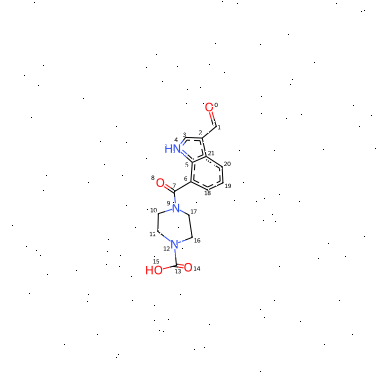 O=Cc1c[nH]c2c(C(=O)N3CCN(C(=O)O)CC3)cccc12